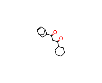 O=C(CC(=O)C1CC2C=CC1C2)C1CCCCC1